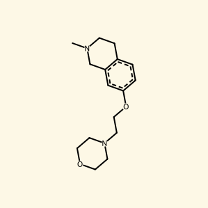 CN1CCc2ccc(OCCN3CCOCC3)cc2C1